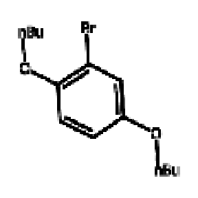 CCCCOc1ccc(OCCCC)c(Br)c1